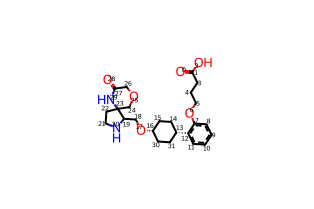 O=C(O)CCCOc1ccccc1[C@H]1CC[C@@H](OCC2NCCC23COCC(=O)N3)CC1